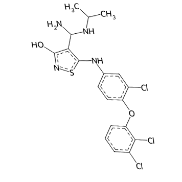 CC(C)NC(N)c1c(O)nsc1Nc1ccc(Oc2cccc(Cl)c2Cl)c(Cl)c1